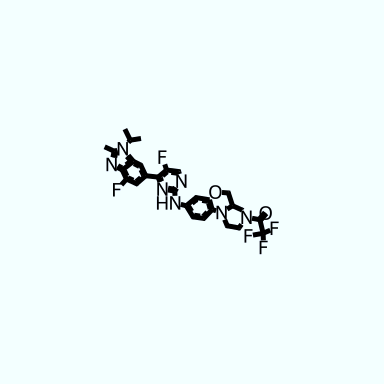 Cc1nc2c(F)cc(-c3nc(Nc4ccc5c(c4)OCC4CN(C(=O)C(F)(F)F)CCN54)ncc3F)cc2n1C(C)C